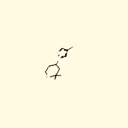 CC(C)c1cnn(C2CCNC(C)(C)C2)c1